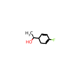 C[C@H](O)C1C=CC(F)=CC1